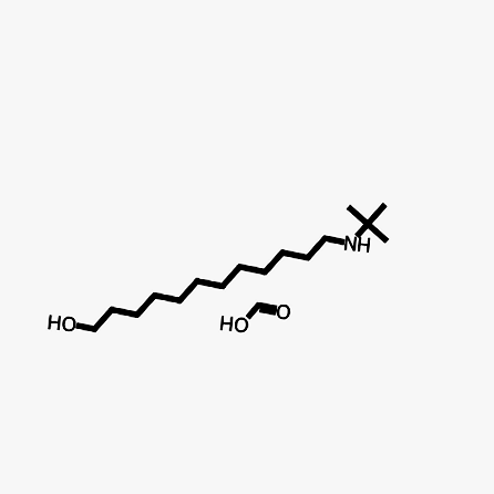 CC(C)(C)NCCCCCCCCCCCCO.O=CO